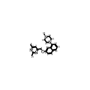 Cc1cc(COc2ccc3cccc(N4CCN(C)CC4)c3c2)nc(C)n1